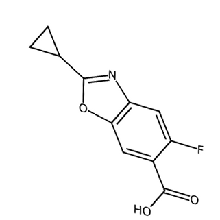 O=C(O)c1cc2oc(C3CC3)nc2cc1F